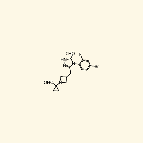 O=CC1NN=C(CC2CN(C3(C=O)CC3)C2)N1c1ccc(Br)cc1F